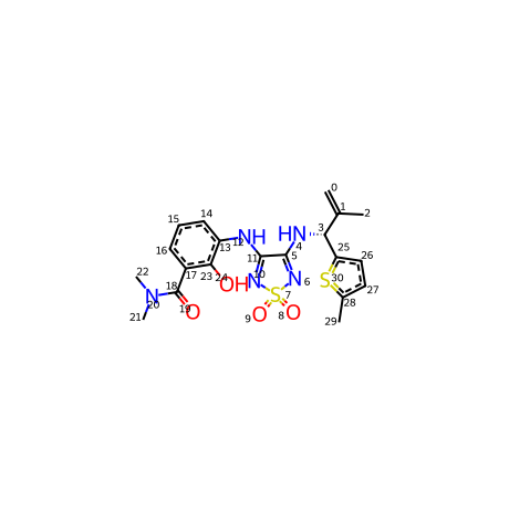 C=C(C)[C@@H](NC1=NS(=O)(=O)N=C1Nc1cccc(C(=O)N(C)C)c1O)c1ccc(C)s1